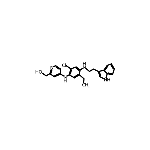 CCc1cc(Nc2ccnc(CO)c2)c(Cl)cc1NCCc1c[nH]c2ccccc12